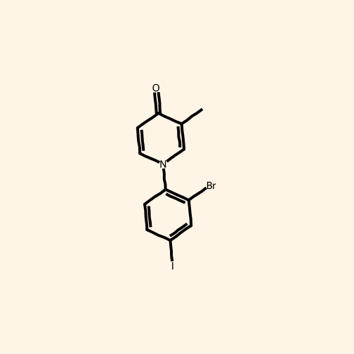 Cc1cn(-c2ccc(I)cc2Br)ccc1=O